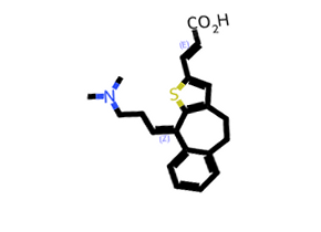 CN(C)CC/C=C1/c2ccccc2CCc2cc(/C=C/C(=O)O)sc21